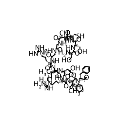 CC[C@H](C)[C@H](NC(=O)[C@H](CCCNC(=N)N)NC(=O)CNC(=O)CNC(=O)[C@H](C)NC(=O)[C@H](CS)NC(=O)[C@H](CO)NC(=O)[C@@H](N)CO)C(=O)N[C@@H](CC(=O)O)C(=O)N[C@@H](CCCNC(=N)N)C(=O)N[C@H](C(=O)N(C1CCCCC1)[C@H]([C]=O)Cc1ccccc1)[C@@H](C)CC